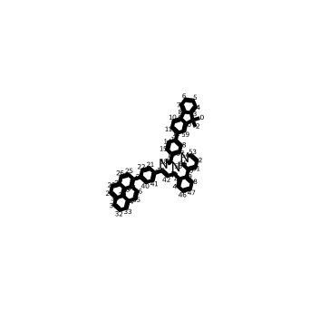 CC1(C)c2ccccc2-c2ccc(-c3ccc(-c4nc(-c5ccc(-c6ccc7ccc8cccc9ccc6c7c89)cc5)cc(-c5ccccc5-c5cccnc5)n4)cc3)cc21